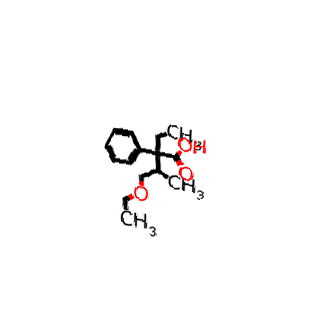 CCOCC(C)C(CC)(C(=O)O)c1ccccc1